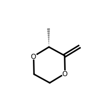 C=C1OCCO[C@@H]1C